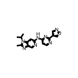 Cc1nc2cnc(Nc3ccnc(-c4cnoc4)n3)cc2n1C(C)C